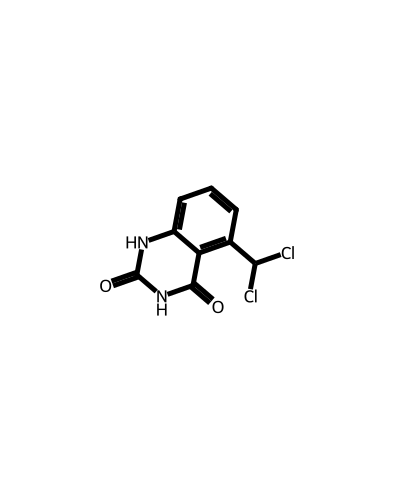 O=c1[nH]c(=O)c2c(C(Cl)Cl)cccc2[nH]1